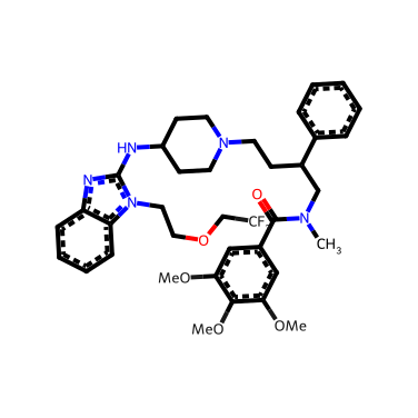 COc1cc(C(=O)N(C)CC(CCN2CCC(Nc3nc4ccccc4n3CCOCC(F)(F)F)CC2)c2ccccc2)cc(OC)c1OC